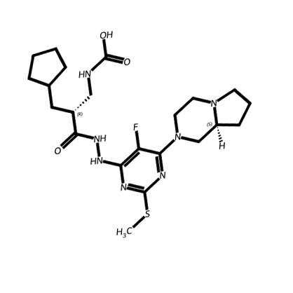 CSc1nc(NNC(=O)[C@@H](CNC(=O)O)CC2CCCC2)c(F)c(N2CCN3CCC[C@H]3C2)n1